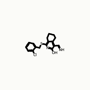 N=Cc1c(O)nc(SCc2ccccc2Cl)c2c1CCCC2